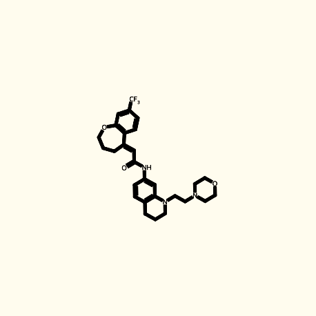 O=C(C=C1CCCOc2cc(C(F)(F)F)ccc21)Nc1ccc2c(c1)N(CCN1CCOCC1)CCC2